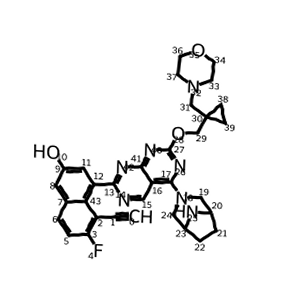 C#Cc1c(F)ccc2cc(O)cc(-c3ncc4c(N5CC6CCC(C5)N6)nc(OCC5(CN6CCOCC6)CC5)nc4n3)c12